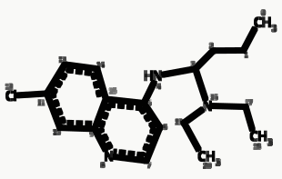 CCCC(Nc1ccnc2cc(Cl)ccc12)N(CC)CC